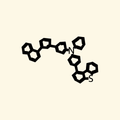 c1ccc(N(c2ccc(-c3cccc(-c4cccc5ccccc45)c3)cc2)c2ccc(-c3cccc4sc5ccccc5c34)cc2)cc1